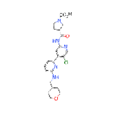 O=C(Nc1cc(-c2cccc(NCC3CCOCC3)n2)c(Cl)cn1)[C@@H]1CCN(C(=O)O)C1